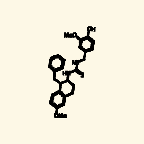 COc1ccc2c(c1)CCC(NC(=S)NCc1ccc(O)c(OC)c1)C2Cc1ccccc1